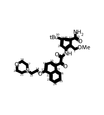 COCc1c(NC(=O)C(=O)c2ccc(OCCN3CCOCC3)c3ccccc23)cc(C(C)(C)C)cc1C(N)=O